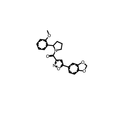 COc1ccccc1C1CCCN1C(=O)c1cc(-c2ccc3c(c2)OCO3)on1